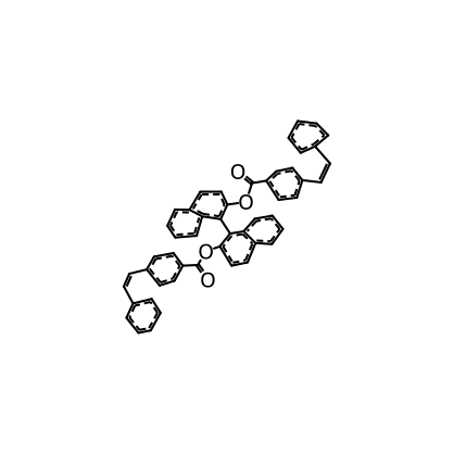 O=C(Oc1ccc2ccccc2c1-c1c(OC(=O)c2ccc(/C=C\c3ccccc3)cc2)ccc2ccccc12)c1ccc(/C=C\c2ccccc2)cc1